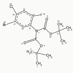 CC(C)(C)OC(=O)N(C(=O)OC(C)(C)C)c1cc(Br)c(Cl)cc1I